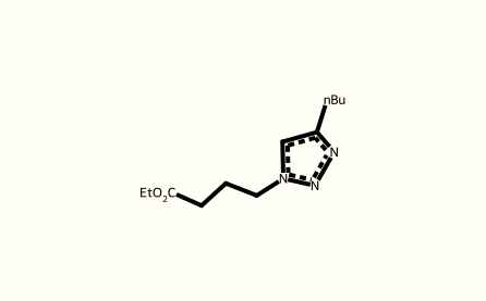 CCCCc1cn(CCCC(=O)OCC)nn1